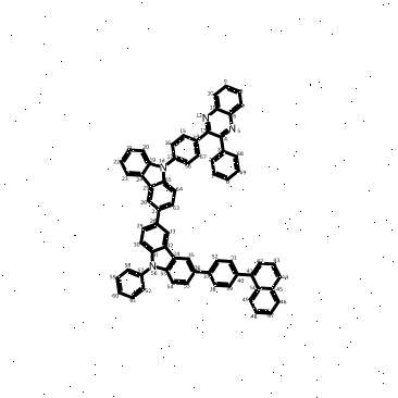 c1ccc(-c2nc3ccccc3nc2-c2ccc(-n3c4ccccc4c4cc(-c5ccc6c(c5)c5cc(-c7ccc(-c8cccc9ccccc89)cc7)ccc5n6-c5ccccc5)ccc43)cc2)cc1